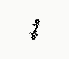 CCN1C(=CC=CC=C2C(=O)c3ccccc3S2(=O)=O)Sc2ccccc21